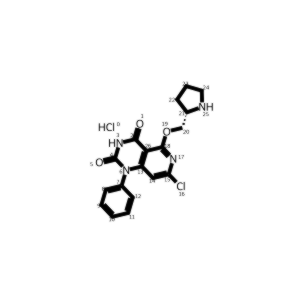 Cl.O=c1[nH]c(=O)n(-c2ccccc2)c2cc(Cl)nc(OC[C@@H]3CCCN3)c12